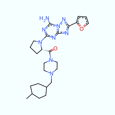 CC1CCC(CN2CCN(C(=O)[C@@H]3CCCN3c3nc(N)n4nc(-c5ccco5)nc4n3)CC2)CC1